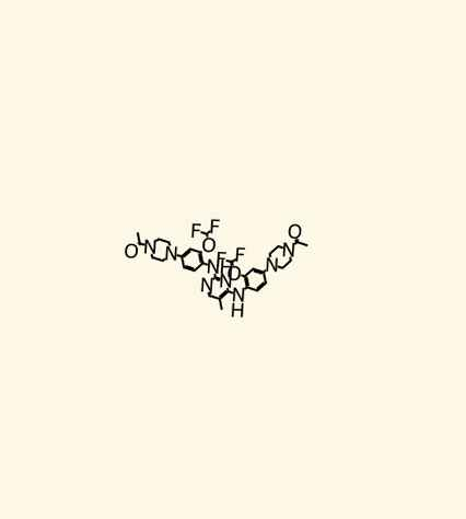 CC(=O)N1CCN(c2ccc(Nc3ncc(C)c(Nc4ccc(N5CCN(C(C)=O)CC5)cc4OC(F)F)n3)c(OC(F)F)c2)CC1